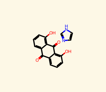 O=C1c2cccc(O)c2C(=O)c2c(O)cccc21.c1c[nH]cn1